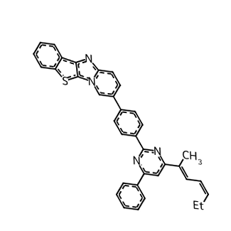 CC/C=C\C=C(/C)c1cc(-c2ccccc2)nc(-c2ccc(-c3ccc4nc5c6ccccc6sc5n4c3)cc2)n1